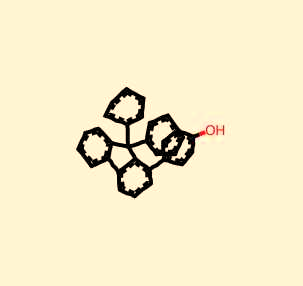 Oc1ccc(-c2cccc3c2C(c2ccccc2)(c2ccccc2)c2ccccc2-3)cc1